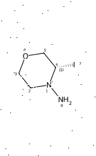 NN1CCOC[C@@H]1I